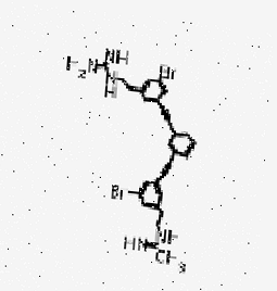 CC(=N)NCCc1cc(Br)cc(C#Cc2cccc(C#Cc3cc(Br)cc(CCNC(=N)N)c3)c2)c1